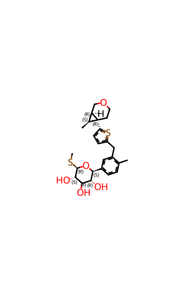 CS[C@H]1O[C@@H](c2ccc(C)c(Cc3ccc([C@@]45CCOC[C@@H]4[C@@H]5C)s3)c2)[C@H](O)[C@@H](O)[C@@H]1O